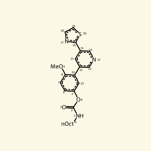 CCCCCCCCNC(=O)Oc1ccc(OC)c(-c2cncc(-c3nccs3)c2)c1